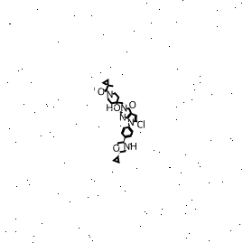 CC1(C(=O)N2CCC(O)(Cn3cnc4c(cc(Cl)n4-c4ccc([C@@H]5CO[C@@H](C6CC6)CN5)cc4)c3=O)CC2)CC1